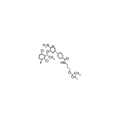 CC(C)OCCCNC(=O)c1ccc(-c2cnc(N)c(OC(C)c3c(Cl)ccc(F)c3Cl)c2)cc1